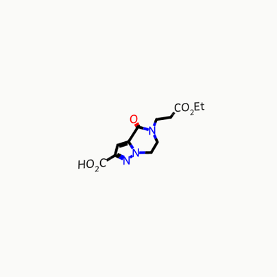 CCOC(=O)CCN1CCn2nc(C(=O)O)cc2C1=O